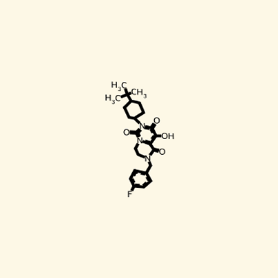 CC(C)(C)C1CCC(n2c(=O)c(O)c3n(c2=O)CCN(Cc2ccc(F)cc2)C3=O)CC1